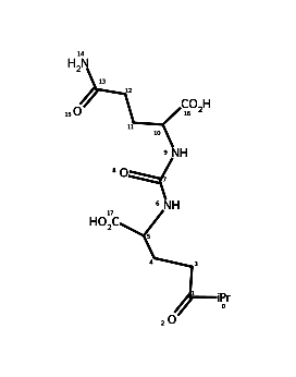 CC(C)C(=O)CCC(NC(=O)NC(CCC(N)=O)C(=O)O)C(=O)O